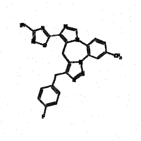 CC(C)c1noc(-c2ncn3c2Cc2c(Cc4ccc(F)cc4)nnn2-c2cc(C(F)(F)F)ccc2-3)n1